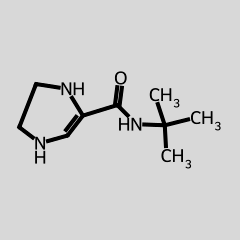 CC(C)(C)NC(=O)C1=CNCCN1